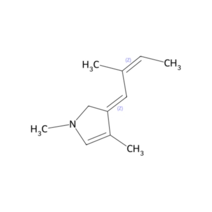 C/C=C(C)\C=C1/CN(C)C=C1C